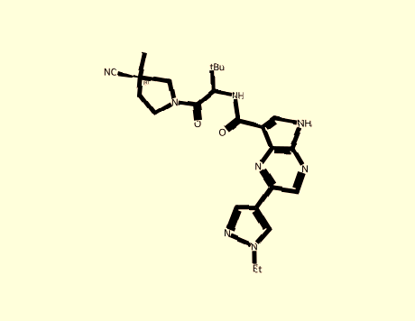 CCn1cc(-c2cnc3[nH]cc(C(=O)NC(C(=O)N4CC[C@@](C)(C#N)C4)C(C)(C)C)c3n2)cn1